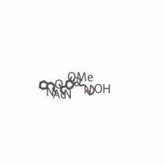 COc1cc2c(Oc3cc4ccccc4nc3C(C)=O)ccnc2cc1OCCN1CCCC(O)C1